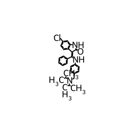 CC(C)N(Cc1ccc(N/C(=C2\C(=O)Nc3cc(Cl)ccc32)c2ccccc2)cc1)C(C)C